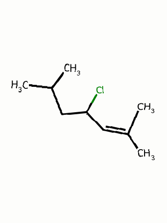 CC(C)=C[C](Cl)CC(C)C